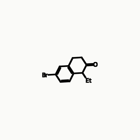 CCC1C(=O)CCc2cc(Br)ccc21